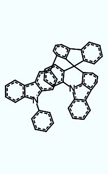 c1ccc(-n2c3ccccc3c3cc(-c4cccc5c4C4(c6ccccc6-5)c5ccccc5-n5c6ccccc6c6cccc4c65)ccc32)cc1